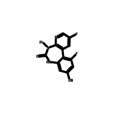 CC(C)N1C(=O)Nc2cc(C#N)cc(F)c2-c2cc(F)cnc21